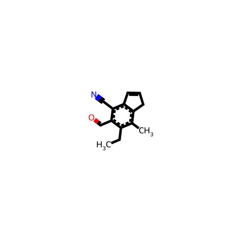 CCc1c(C)c2c(c(C#N)c1C=O)C=CC2